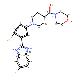 O=C(C1CCN(c2ccc(F)c(-c3nc4cc(F)ccc4[nH]3)c2)CC1)N1CCOCC1